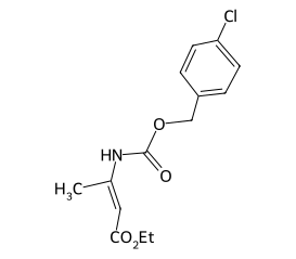 CCOC(=O)C=C(C)NC(=O)OCc1ccc(Cl)cc1